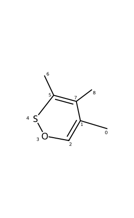 CC1=COSC(C)=C1C